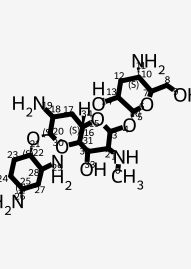 CNC1C(O[C@H]2OC(CO)[C@@H](N)CC2O)O[C@H]2CC(N)[C@@H](O[C@H]3CC[C@H](N)CC3N)OC2C1O